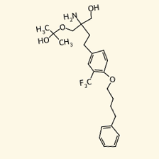 CC(C)(O)OCC(N)(CO)CCc1ccc(OCCCCc2ccccc2)c(C(F)(F)F)c1